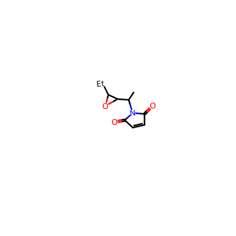 CCC1OC1C(C)N1C(=O)C=CC1=O